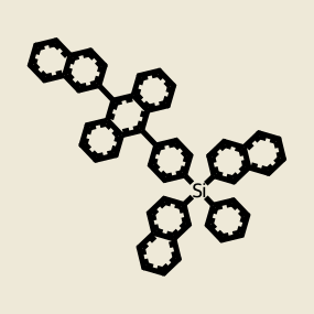 c1ccc([Si](c2ccc(-c3c4ccccc4c(-c4ccc5ccccc5c4)c4ccccc34)cc2)(c2ccc3ccccc3c2)c2ccc3ccccc3c2)cc1